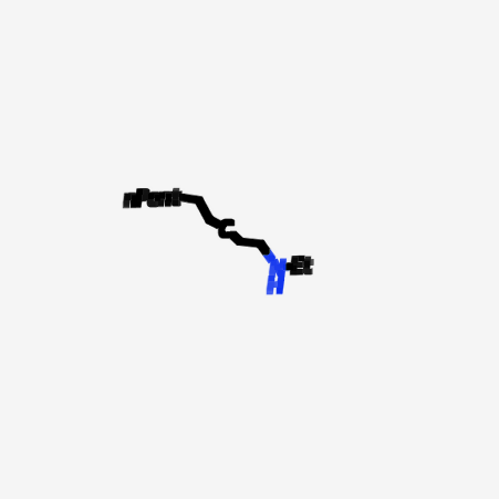 [CH2]CCCCCCCCCNCC